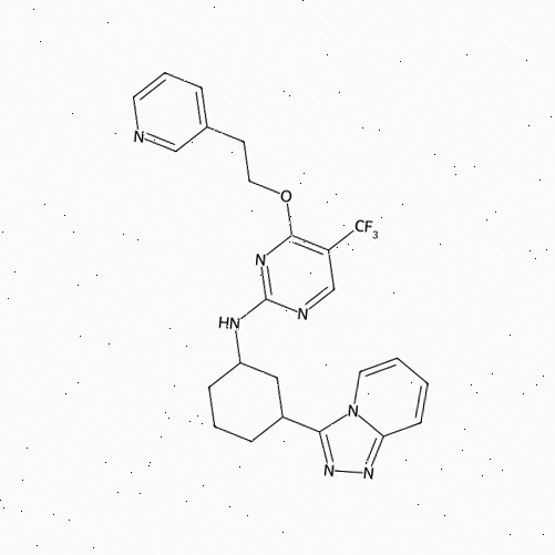 FC(F)(F)c1cnc(NC2CCCC(c3nnc4ccccn34)C2)nc1OCCc1cccnc1